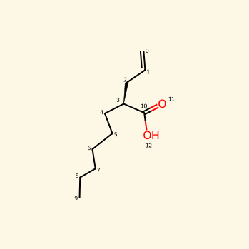 C=CC[C@H](CCCCCC)C(=O)O